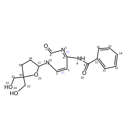 CN(/C=C\C(=N/C=O)NC(=O)c1ccccc1)C1CCC(CO)(CO)O1